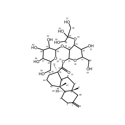 C=C1CC[C@@H]2[C@](C)(CCC3[C@](C)(C(=O)OC4OC(CO)C(O)C(OC(O)(CO)CO)C4OC4OC(CO)C(O)C(O)C4O)CCC[C@]32C)C1